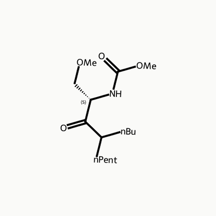 CCCCCC(CCCC)C(=O)[C@H](COC)NC(=O)OC